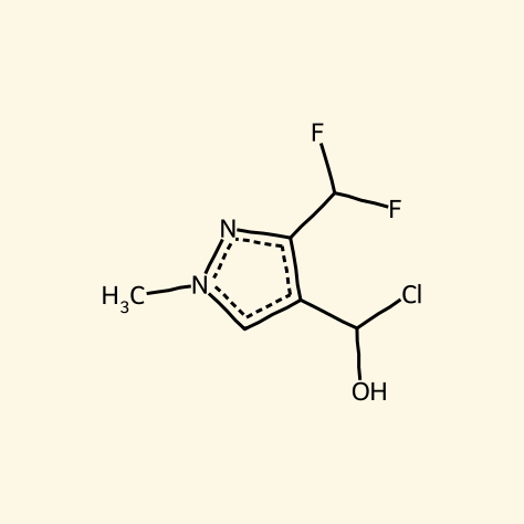 Cn1cc(C(O)Cl)c(C(F)F)n1